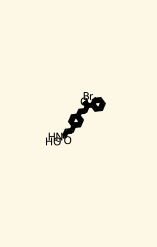 O=C(/C=C/c1ccc(/C=C/C(=O)c2ccccc2Br)cc1)NO